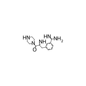 N=C(Cc1cccc(C(=N)N)c1)C(=O)N1CCNCC1